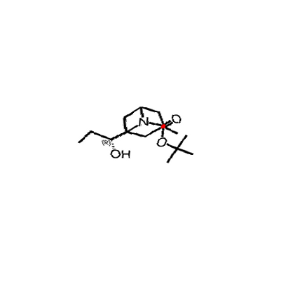 CC[C@@H](O)C12CC(C)CC(C1)N2C(=O)OC(C)(C)C